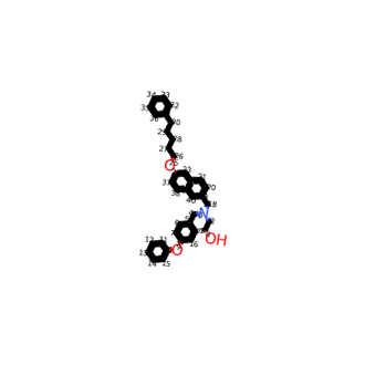 OCCN(Cc1ccc(Oc2ccccc2)cc1)Cc1ccc2cc(OCCCCCc3ccccc3)ccc2c1